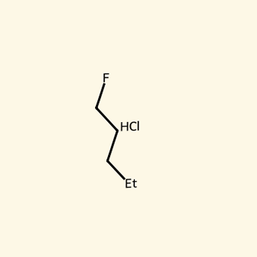 CCCCCF.Cl